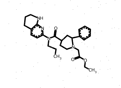 CCCN(C(=O)C1CCN(CC(=O)OCC)C(c2ccccc2)C1)c1ccc2c(n1)NCCC2